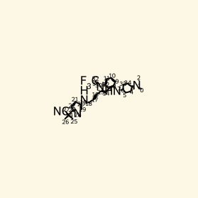 CN(C)C1CCC(Nc2cccc3c2cc(C#CCNc2ccc(C(C)(C)C#N)nc2)n3CC(F)(F)F)CC1